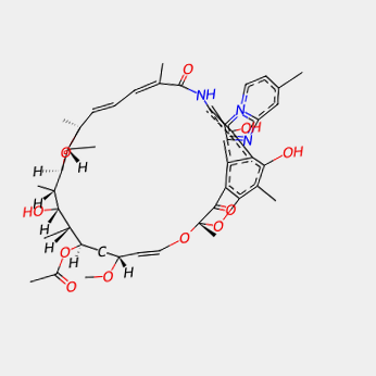 CO[C@H]1/C=C/O[C@@]2(C)Oc3c(C)c(O)c4c(O)c(c5c(nc6cc(C)ccn65)c4c3C2=O)NC(=O)/C(C)=C\C=C\[C@]2(C)O[C@H]([C@@H](C)[C@@H](O)[C@@H](C)[C@H](OC(C)=O)C1)[C@H]2C